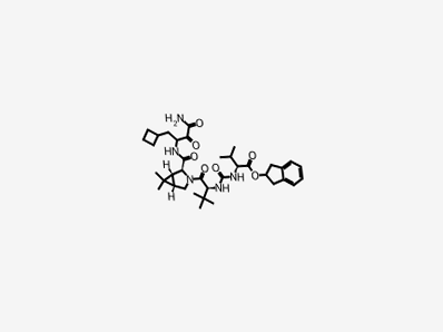 CC(C)[C@H](NC(=O)N[C@H](C(=O)N1C[C@H]2[C@@H]([C@H]1C(=O)NC(CC1CCC1)C(=O)C(N)=O)C2(C)C)C(C)(C)C)C(=O)OC1Cc2ccccc2C1